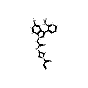 C=CC(=O)N1CC(NC(=O)Cn2cc(-c3cccnc3OC(C)C)c3cc(Br)ccc32)C1